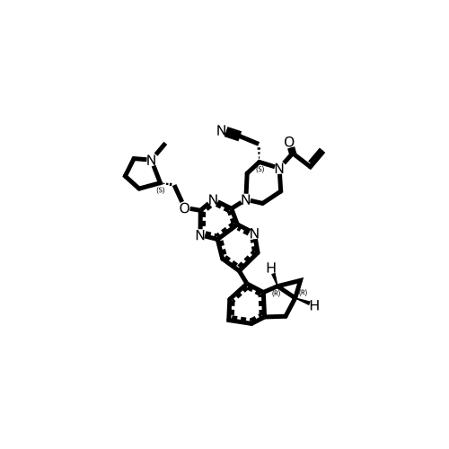 C=CC(=O)N1CCN(c2nc(OC[C@@H]3CCCN3C)nc3cc(-c4cccc5c4[C@@H]4C[C@@H]4C5)cnc23)C[C@@H]1CC#N